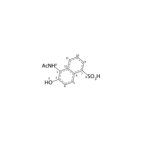 CC(=O)Nc1c(O)ccc2c(S(=O)(=O)O)cccc12